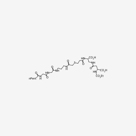 CCCCCC(=O)NCC(=O)NCC(=O)NCCCNC(=O)CSCCC(=O)NC(CNC(=O)CC(NC(=O)OCC)C(=O)O)C(=O)O